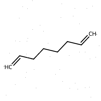 [CH]=CCCCCC=[CH]